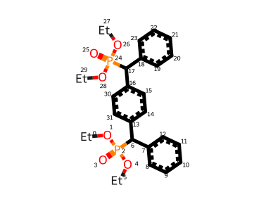 CCOP(=O)(OCC)C(c1ccccc1)c1ccc(C(c2ccccc2)P(=O)(OCC)OCC)cc1